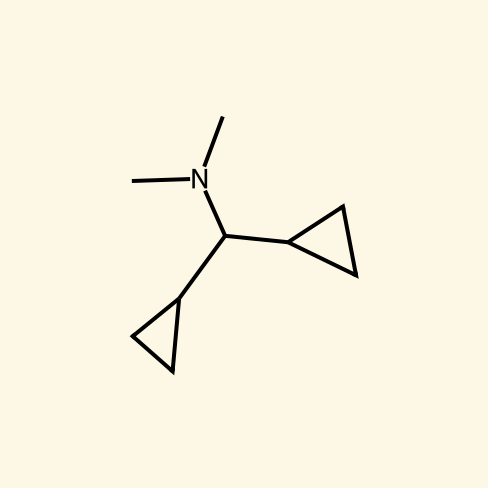 CN(C)C(C1CC1)C1CC1